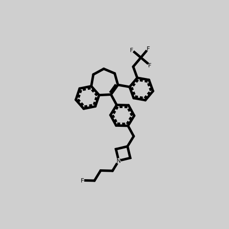 FCCCN1CC(Cc2ccc(C3=C(c4ccccc4CC(F)(F)F)CCCc4ccccc43)cc2)C1